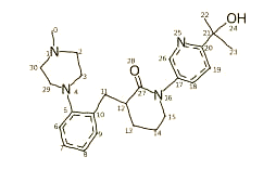 CN1CCN(c2ccccc2CC2CCCN(c3ccc(C(C)(C)O)nc3)C2=O)CC1